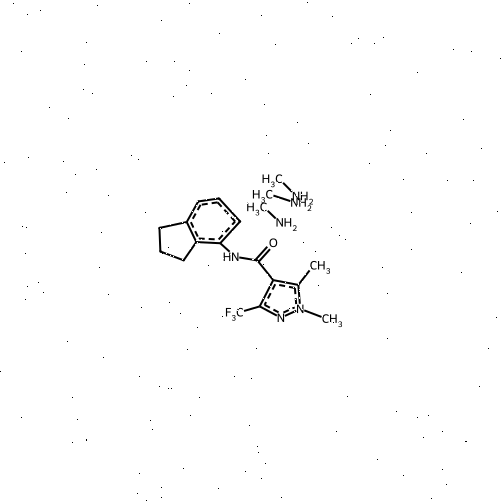 CN.CN.CN.Cc1c(C(=O)Nc2cccc3c2CCC3)c(C(F)(F)F)nn1C